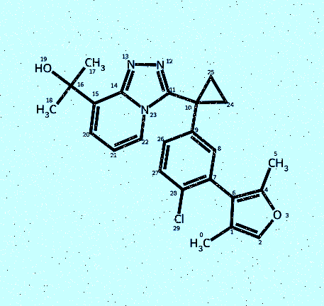 Cc1coc(C)c1-c1cc(C2(c3nnc4c(C(C)(C)O)cccn34)CC2)ccc1Cl